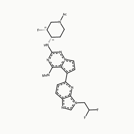 CNc1nc(N[C@H]2CCN(C(C)=O)C[C@H]2F)nn2ccc(-c3ccc4ncn(CC(F)F)c4n3)c12